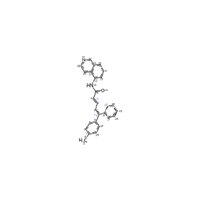 Cc1ccc(/C(=C/C=C/C(=O)Nc2cccc3cnccc23)c2ccccc2)cc1